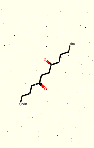 COCCCC(=O)CCC(=O)CCCC(C)(C)C